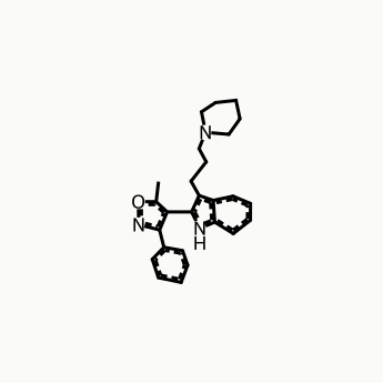 Cc1onc(-c2ccccc2)c1-c1[nH]c2ccccc2c1CCCN1CCCCC1